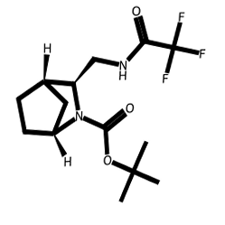 CC(C)(C)OC(=O)N1[C@@H]2CC[C@@H](C2)[C@H]1CNC(=O)C(F)(F)F